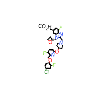 O=C(O)Cc1cc(F)c2nc(CN3CCC(Oc4ccc(F)c(COc5ccc(Cl)cc5F)n4)CC3)n(C[C@@H]3CCO3)c2c1